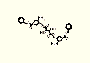 N[C@H]1CN(C(=O)OCc2ccccc2)C[C@H]1COC(=O)C(O)C(O)C(=O)OC[C@@H]1CN(C(=O)OCc2ccccc2)C[C@@H]1N